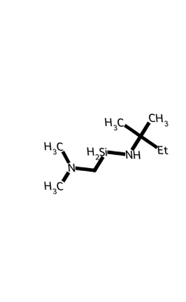 CCC(C)(C)N[SiH2]CN(C)C